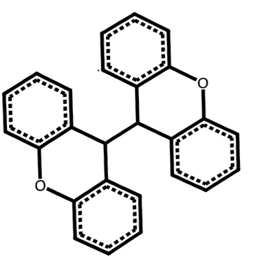 [c]1cccc2c1C(C1c3ccccc3Oc3ccccc31)c1ccccc1O2